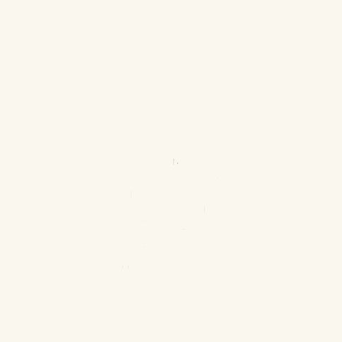 C[C@]12CC(=O)[C@](C)(C1)[C@H]1C(=O)N(c3cccc(C(F)(F)F)c3)C(=O)[C@H]12